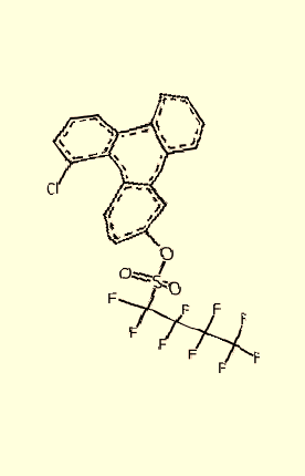 O=S(=O)(Oc1ccc2c(c1)c1ccccc1c1cccc(Cl)c12)C(F)(F)C(F)(F)C(F)(F)C(F)(F)F